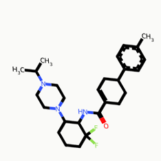 Cc1ccc(C2CC=C(C(=O)NC3C(N4CCN(C(C)C)CC4)CCCC3(F)F)CC2)cc1